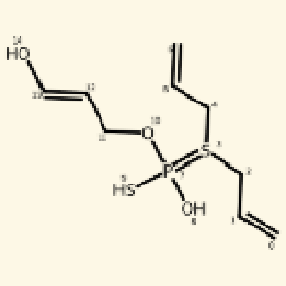 C=CCS(CC=C)=P(O)(S)OCC=CO